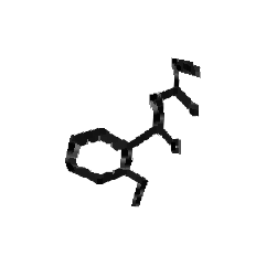 C=Cc1ccccc1/C(Cl)=N/C(=O)NC(C)=O